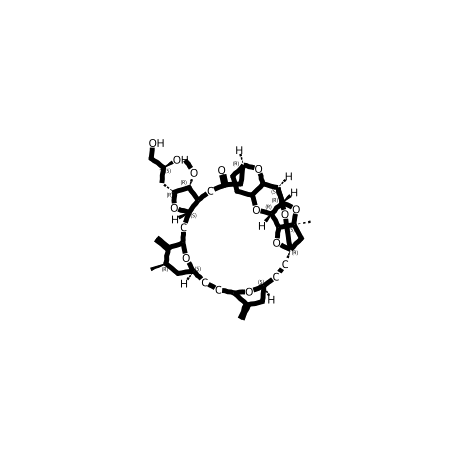 C=C1C[C@@H]2CC[C@@]34C[C@]5(C)O[C@H]6[C@@H](O3)C3O[C@H](CCC3O[C@H]6C5O4)CC(=O)CC3[C@H](CC4O[C@@H](CCC1O2)C[C@@H](C)C4=C)O[C@H](C[C@H](O)CO)[C@@H]3OC